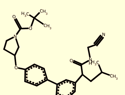 CC(C)CC(C(=O)NCC#N)c1cccc(-c2ccc(OC3CCN(C(=O)OC(C)(C)C)C3)cc2)c1